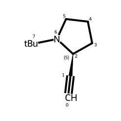 C#C[C@@H]1CCCN1C(C)(C)C